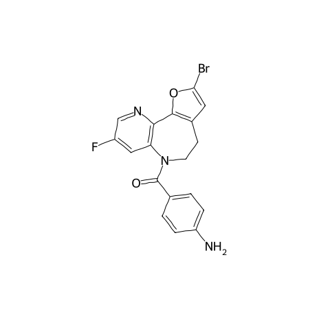 Nc1ccc(C(=O)N2CCc3cc(Br)oc3-c3ncc(F)cc32)cc1